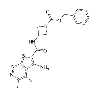 Cc1nnc2sc(C(=O)NC3CN(C(=O)OCc4ccccc4)C3)c(N)c2c1C